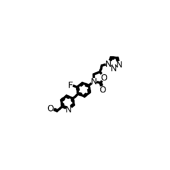 O=Cc1ccc(-c2ccc(N3CC(Cn4ccnn4)OC3=O)cc2F)cn1